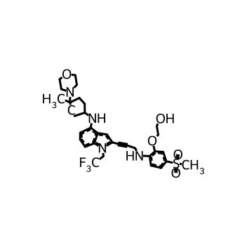 CC1(N2CCOCC2)CCC(Nc2cccc3c2cc(C#CCNc2ccc(S(C)(=O)=O)cc2OCCO)n3CC(F)(F)F)CC1